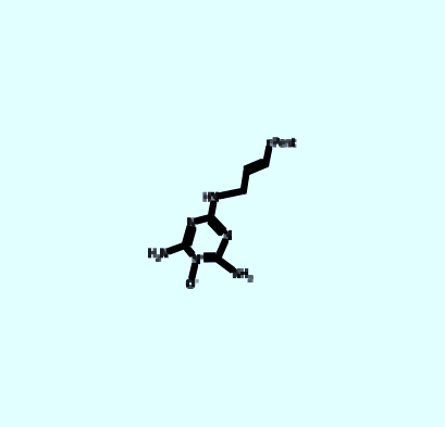 CCCCCC=CCNc1nc(N)[n+]([O-])c(N)n1